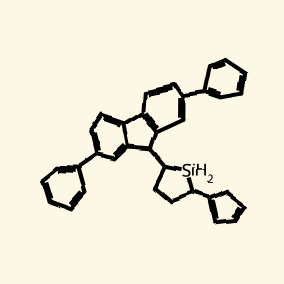 C1=CCC(C2CCC(C3c4cc(-c5ccccc5)ccc4-c4ccc(-c5ccccc5)cc43)[SiH2]2)=C1